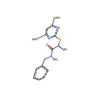 COc1cc(OC)nc(SC(C(=O)N(N)Cc2ccccc2)C(C)(C)C)n1